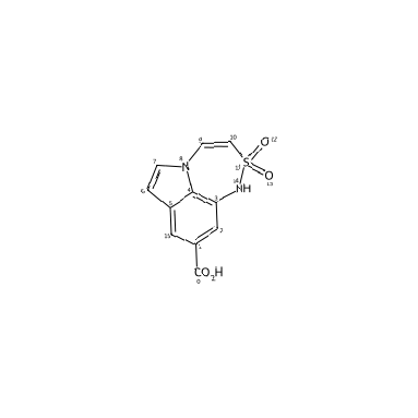 O=C(O)c1cc2c3c(ccn3C=CS(=O)(=O)N2)c1